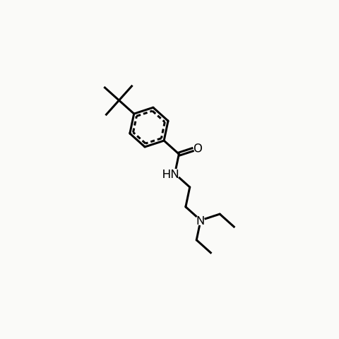 CCN(CC)CCNC(=O)c1ccc(C(C)(C)C)cc1